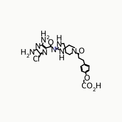 Nc1nc(N)c(C(=O)/N=C2\NCC3(CCN(C(=O)CCc4ccc(OCC(=O)O)cc4)CC3)N2)nc1Cl